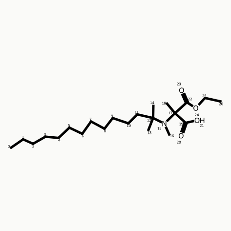 CCCCCCCCCCCCC(C)(C)N(C)C(C)(C(=O)O)C(=O)OCC